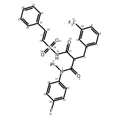 CC(C)N(C(=O)C(Cc1cccc(C(F)(F)F)c1)C(=O)NS(=O)(=O)/C=C/c1ccccc1)c1ccc(F)cc1